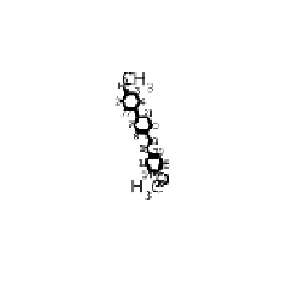 CCC1CCC(C2CC=C(CCc3ccc(OC)cc3)CC2)CC1